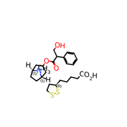 CN1[C@H]2CC[C@H]1CC(OC(=O)C(CO)c1ccccc1)C2.O=C(O)CCCC[C@@H]1CCSS1